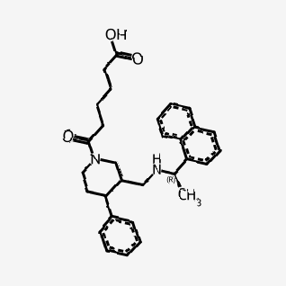 C[C@@H](NCC1CN(C(=O)CCCCC(=O)O)CCC1c1ccccc1)c1cccc2ccccc12